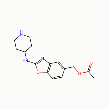 CC(=O)OCc1ccc2oc(NC3CCNCC3)nc2c1